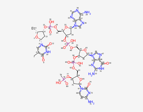 CC[C@H]1O[C@@H](n2cc(C)c(=O)[nH]c2=O)C[C@H]1OP(=O)(O)OC[C@H]1O[C@@H](n2cnc3c(N)ncnc32)C[C@H]1OP(=O)(O)OC[C@H]1O[C@@H](n2cnc3c(=O)[nH]c(N)nc32)C[C@H]1OP(=O)(O)OC[C@H]1O[C@@H](n2ccc(N)nc2=O)C[C@H]1OP(C)(=O)O